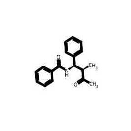 CC(=O)[C@H](C)[C@@H](NC(=O)c1ccccc1)c1ccccc1